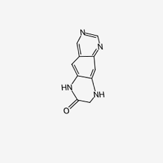 O=C1CNc2cc3ncncc3cc2N1